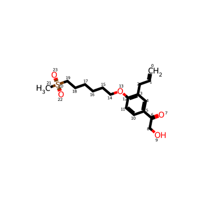 C=CCc1cc(C(=O)CO)ccc1OCCCCCCS(C)(=O)=O